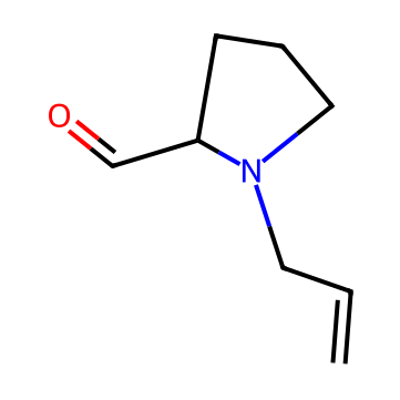 C=CCN1CCCC1C=O